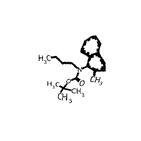 CCCCN(C(=O)OC(C)(C)C)c1c(C)ccc2ccccc12